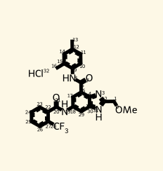 COCc1nc2c(C(=O)Nc3ccc(C)cc3C)cc(NC(=O)c3ccccc3C(F)(F)F)cc2[nH]1.Cl